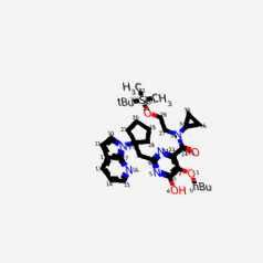 CCCCOc1c(O)nc(CC2(n3ccc4cccnc43)CCCC2)nc1C(=O)N(CCO[Si](C)(C)C(C)(C)C)C1CC1